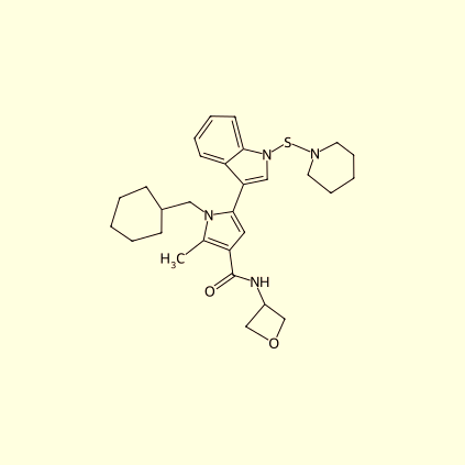 Cc1c(C(=O)NC2COC2)cc(-c2cn(SN3CCCCC3)c3ccccc23)n1CC1CCCCC1